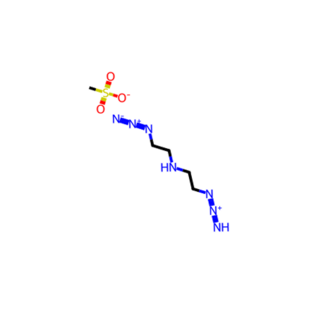 CS(=O)(=O)[O-].[N-]=[N+]=NCCNCCN=[N+]=N